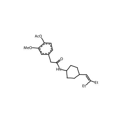 CCC(=CC1CCC(NC(=O)Cc2ccc(OC(C)=O)c(OC)c2)CC1)CC